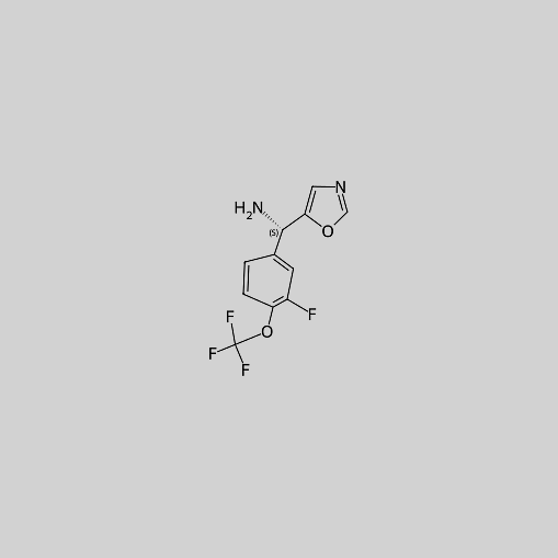 N[C@@H](c1ccc(OC(F)(F)F)c(F)c1)c1cnco1